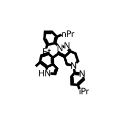 CCCc1cccc(CC)c1-n1nc2c(c1-c1ccc(C)c3[nH]ccc13)CN(c1ccc(C(C)C)cn1)CC2